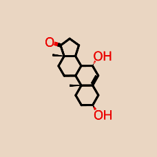 C[C@]12CC[C@H](O)CC1=C[C@@H](O)C1C2CC[C@]2(C)C(=O)CCC12